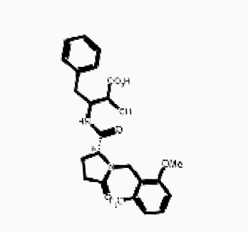 COc1cccc(C(F)(F)F)c1CN1C(=O)CC[C@@H]1C(=O)NC(Cc1ccccc1)C(O)C(=O)O